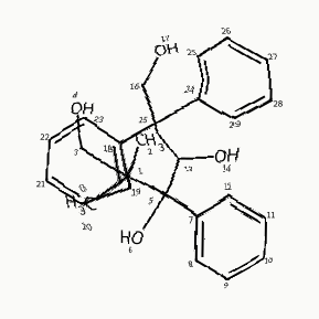 CC(C)(CO)C(O)(c1ccccc1)C(O)C(CO)(c1ccccc1)c1ccccc1